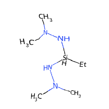 CC[SiH](NN(C)C)NN(C)C